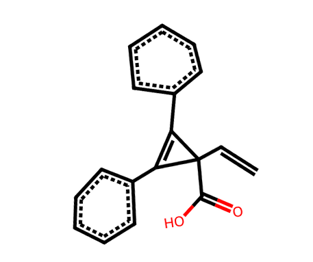 C=CC1(C(=O)O)C(c2ccccc2)=C1c1ccccc1